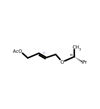 CC(=O)OC/C=C/CO[C@H](C)C(C)C